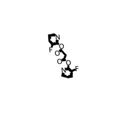 O=C(CC(=O)Oc1ncccc1F)Oc1ncccc1F